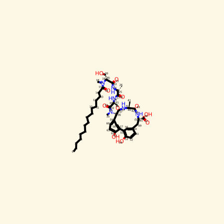 CCCCCCCCCCCCCCCC(=O)N(C)[C@H](CO)C(=O)N[C@H](C)C(=O)N[C@@H](C)C(=O)N(C)[C@@H]1C(=O)N[C@@H](C)C(=O)N[C@H](C(=O)O)Cc2ccc(O)c(c2)-c2cc1ccc2O